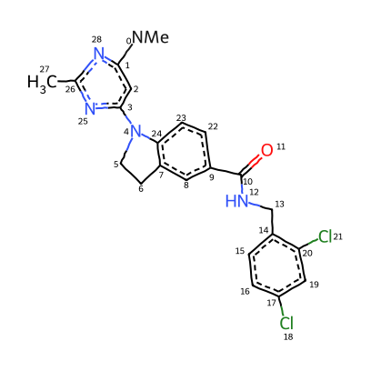 CNc1cc(N2CCc3cc(C(=O)NCc4ccc(Cl)cc4Cl)ccc32)nc(C)n1